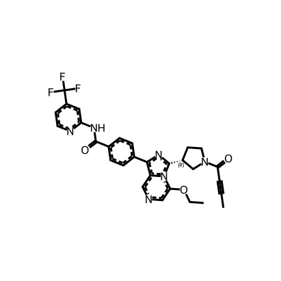 CC#CC(=O)N1CC[C@@H](c2nc(-c3ccc(C(=O)Nc4cc(C(F)(F)F)ccn4)cc3)c3cncc(OCC)n23)C1